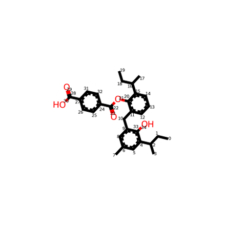 CCC(C)c1cc(C)cc(Cc2cccc(C(C)CC)c2OC(=O)c2ccc(C(=O)O)cc2)c1O